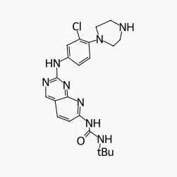 CC(C)(C)NC(=O)Nc1ccc2cnc(Nc3ccc(N4CCNCC4)c(Cl)c3)nc2n1